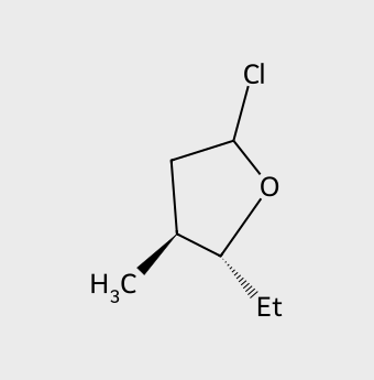 CC[C@H]1OC(Cl)C[C@@H]1C